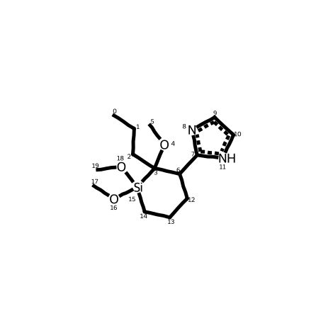 CCCC1(OC)C(c2ncc[nH]2)CCC[Si]1(OC)OC